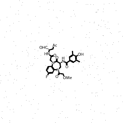 COCC(=O)N1C[C@H](NC(=O)c2cc(C)c(O)c(C)c2)C(=O)N(CC(=O)N[C@H](C=O)CC(C)=O)c2ccc(F)cc21